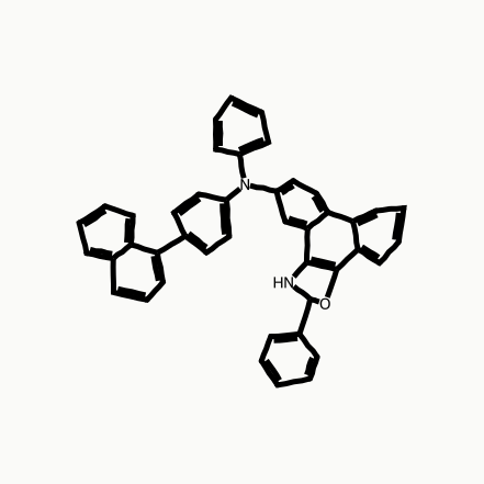 c1ccc(C2Nc3c(c4ccccc4c4ccc(N(c5ccccc5)c5ccc(-c6cccc7ccccc67)cc5)cc34)O2)cc1